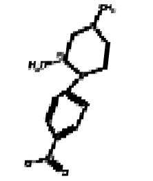 C[C@@H]1CN(C)CCN1c1ccc([N+](=O)[O-])cc1